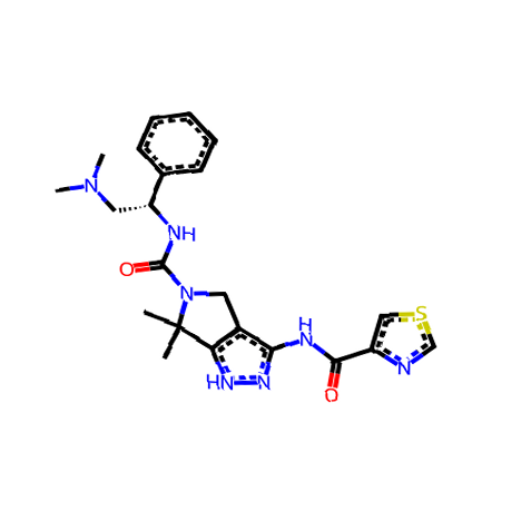 CN(C)C[C@@H](NC(=O)N1Cc2c(NC(=O)c3cscn3)n[nH]c2C1(C)C)c1ccccc1